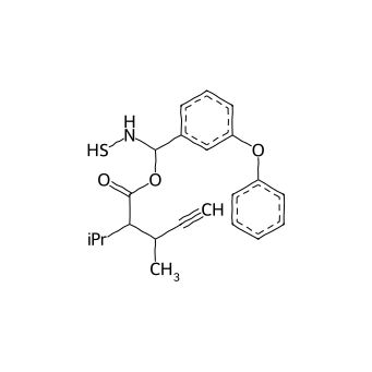 C#CC(C)C(C(=O)OC(NS)c1cccc(Oc2ccccc2)c1)C(C)C